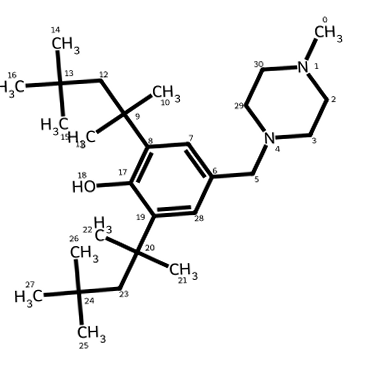 CN1CCN(Cc2cc(C(C)(C)CC(C)(C)C)c(O)c(C(C)(C)CC(C)(C)C)c2)CC1